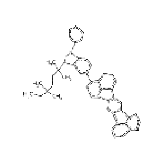 CCC(C)(C)CCC(C)(C)C1CN(c2ccccc2)c2ccc(-c3ccc4c5cc6c(cc5c5cccc3c54)c3cccc4cccc6c43)cc21